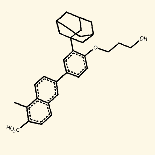 Cc1c(C(=O)O)ccc2cc(-c3ccc(OCCCO)c(C45CC6CC(CC(C6)C4)C5)c3)ccc12